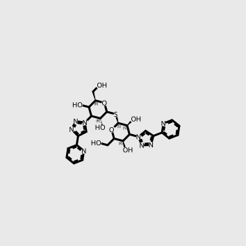 OCC1O[C@@H](SC2O[C@H](CO)C(O)C(n3cc(-c4ccccn4)nn3)[C@H]2O)[C@@H](O)C(n2cc(-c3ccccn3)nn2)[C@H]1O